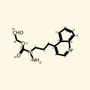 NN(CCCc1ccnc2ccccc12)C(=O)OCC=O